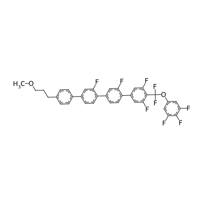 COCCCc1ccc(-c2ccc(-c3ccc(-c4cc(F)c(C(F)(F)Oc5cc(F)c(F)c(F)c5)c(F)c4)c(F)c3)c(F)c2)cc1